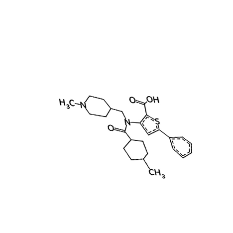 CC1CCC(C(=O)N(CC2CCN(C)CC2)c2cc(-c3ccccc3)sc2C(=O)O)CC1